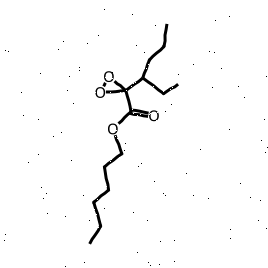 CCCCCCOC(=O)C1(C(CC)CCC)OO1